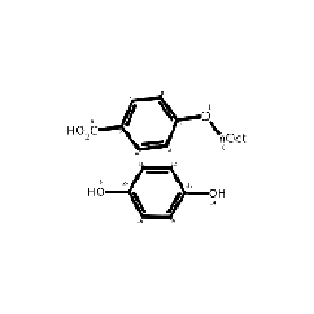 CCCCCCCCOc1ccc(C(=O)O)cc1.Oc1ccc(O)cc1